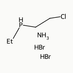 Br.Br.CCPCCCl.N